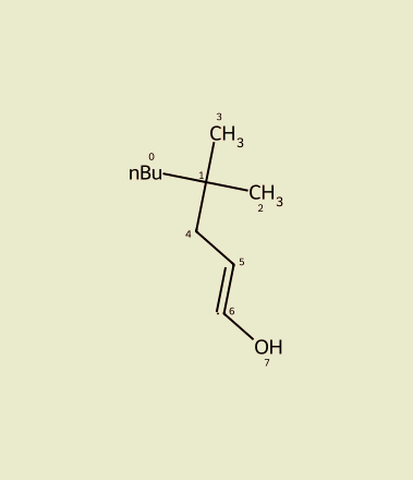 CCCCC(C)(C)C/C=[C]/O